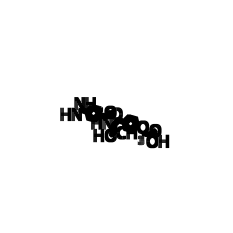 CC(O)C(NC(=O)c1ccc(C(=N)N)cc1)C(=O)c1ccc(OCC(=O)O)cc1